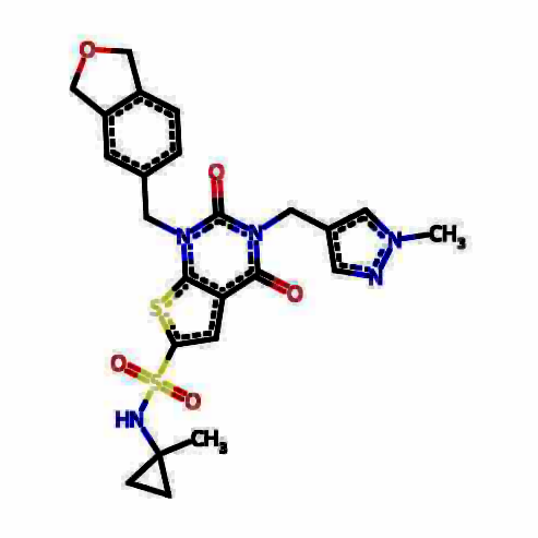 Cn1cc(Cn2c(=O)c3cc(S(=O)(=O)NC4(C)CC4)sc3n(Cc3ccc4c(c3)COC4)c2=O)cn1